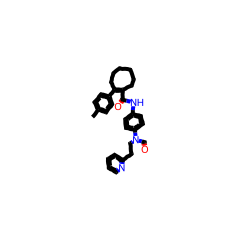 Cc1ccc(C2=C(C(=O)Nc3ccc(N(C=O)CCc4ccccn4)cc3)CCCCCC2)cc1